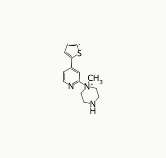 C[N+]1(c2cc(-c3cc[c]s3)ccn2)CCNCC1